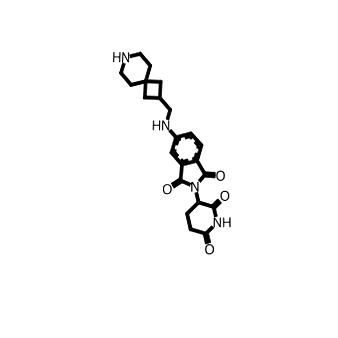 O=C1CCC(N2C(=O)c3ccc(NCC4CC5(CCNCC5)C4)cc3C2=O)C(=O)N1